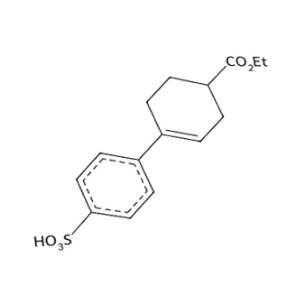 CCOC(=O)C1CC=C(c2ccc(S(=O)(=O)O)cc2)CC1